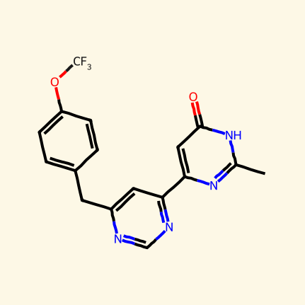 Cc1nc(-c2cc(Cc3ccc(OC(F)(F)F)cc3)ncn2)cc(=O)[nH]1